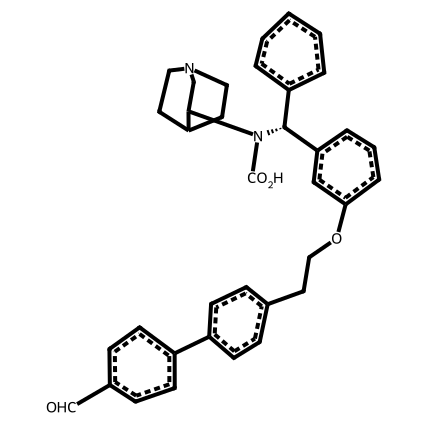 O=Cc1ccc(-c2ccc(CCOc3cccc([C@@H](c4ccccc4)N(C(=O)O)C4CN5CCC4CC5)c3)cc2)cc1